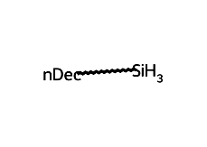 CCCCCCCCCCCCCCCCCCCCCCCCCCCCCCC[SiH3]